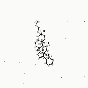 C[C@]12CCC(O)(CCCO)CC1CC[C@@H]1[C@@H]2CC[C@]2(C)C(c3cccnc3)=CC[C@@H]12